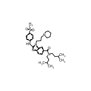 CC(C)CCN(CCC(C)C)C(=O)c1ccc2nc(Nc3ccc(S(C)(=O)=O)cc3)n(CCCN3CCCCC3)c2c1